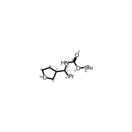 CC(C)C(NC(=O)OC(C)(C)C)C1CCOC1